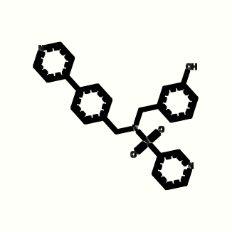 O=S(=O)(c1cccnc1)N(Cc1ccc(-c2ccncc2)cc1)Cc1cccc(O)c1